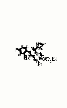 CCOC(=O)C(C)N(CC)CC1=C(C#N)C(c2ccc(F)cc2Cl)N=C(c2nccs2)N1